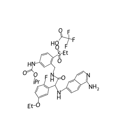 CCOc1ccc(F)c(C(Nc2ccc3c(N)nccc3c2)C(=O)NCc2cc(NC(=O)OC(C)C)ccc2S(=O)(=O)CC)c1.O=C(O)C(F)(F)F